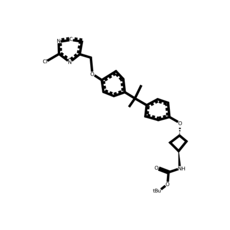 CC(C)(C)OC(=O)N[C@H]1C[C@H](Oc2ccc(C(C)(C)c3ccc(OCc4ccnc(Cl)n4)cc3)cc2)C1